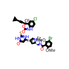 CCCc1cc(=O)[nH]c(=S)[nH]1.CCN1CCC[C@H]1CNC(=O)c1c(OC)ccc(Br)c1OC.O=C1Nc2ccc(Cl)cc2[C@@](C#CC2CC2)(C(F)(F)F)O1